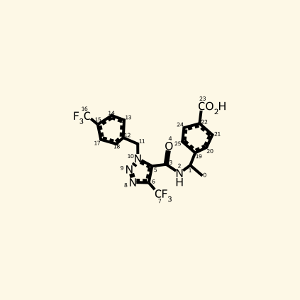 CC(NC(=O)c1c(C(F)(F)F)nnn1Cc1ccc(C(F)(F)F)cc1)c1ccc(C(=O)O)cc1